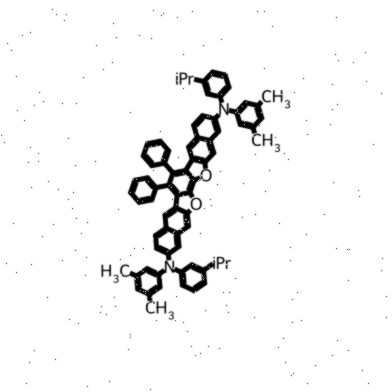 Cc1cc(C)cc(N(c2cccc(C(C)C)c2)c2ccc3cc4c(cc3c2)oc2c3oc5cc6cc(N(c7cc(C)cc(C)c7)c7cccc(C(C)C)c7)ccc6cc5c3c(-c3ccccc3)c(-c3ccccc3)c42)c1